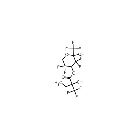 CCC(C)(C(=O)OC1C(F)(F)COC(O)(C(F)(F)F)C1(F)F)C(F)(F)F